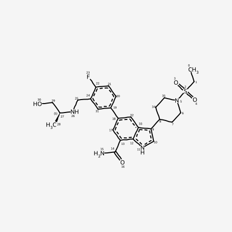 CCS(=O)(=O)N1CCC(c2c[nH]c3c(C(N)=O)cc(-c4ccc(F)c(CN[C@@H](C)CO)c4)cc23)CC1